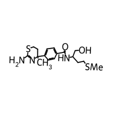 CSCCC(CO)NC(=O)c1ccc(C2(C)CCSC(N)=N2)cc1